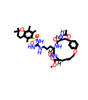 COC(=O)[C@@H]1CC=CCOc2ccc(cc2)C[C@H](NC(C)=O)C(=O)N[C@@H](CCCNC(=N)NS(=O)(=O)c2c(C)c(C)c3c(c2C)CCC(C)(C)O3)C(=O)N1